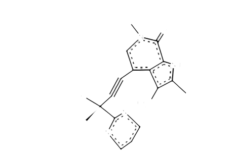 CCOC(=O)c1c(C)[nH]c2c(=O)n(C)cc(C#C[C@@](C)(O)c3ncccn3)c12